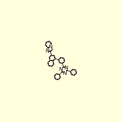 c1ccc(-c2nc(-c3ccccc3)nc(-c3cccc(-c4cc(-c5cn6ccccc6n5)cc5ccccc45)c3)n2)cc1